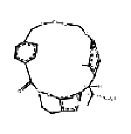 Cc1cc2ncc1[C@H]([C@@H](C)C(=O)O)c1ccc3c(c1)CN(CC3)C(=O)c1ccc(cc1)CCCCCO2